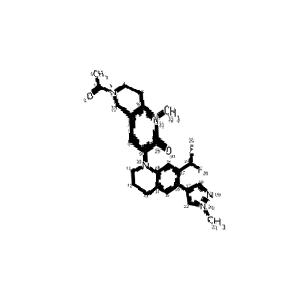 CC(=O)N1CCc2c(cc(N3CCCc4cc(-c5cnn(C)c5)c(C(F)F)cc43)c(=O)n2C)C1